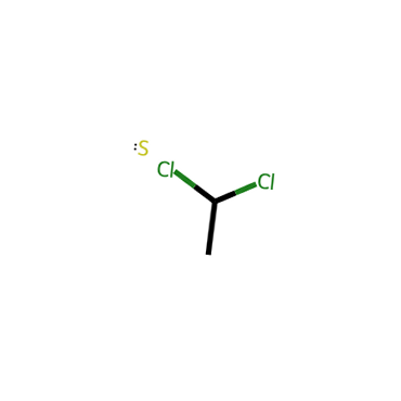 CC(Cl)Cl.[S]